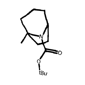 CC(C)(C)OC(=O)N1C2CCCC1(C)CC2